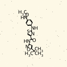 CONc1ccc(Nc2nc(C(=O)Nc3cc(C(C)(C)C)on3)cs2)cc1